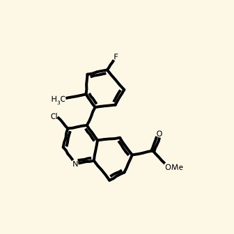 COC(=O)c1ccc2ncc(Cl)c(-c3ccc(F)cc3C)c2c1